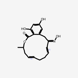 CC1C/C=C/CC/C=C/C(=NO)Cc2cc(O)cc(O)c2C(=O)O1